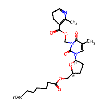 CCCCCCCCCCCCCCCC(=O)OC[C@@H]1CC[C@H](n2cc(C)c(=O)n(COC(=O)C3=C(C)N=CCC3)c2=O)O1